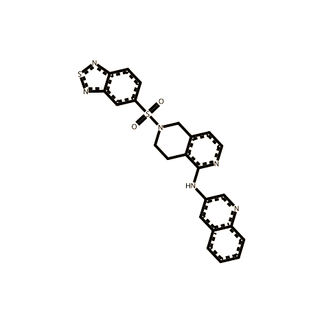 O=S(=O)(c1ccc2nsnc2c1)N1CCc2c(ccnc2Nc2cnc3ccccc3c2)C1